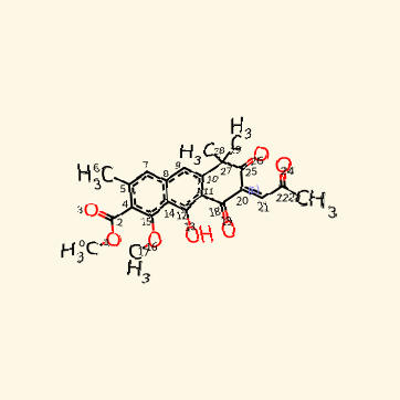 COC(=O)c1c(C)cc2cc3c(c(O)c2c1OC)C(=O)/C(=C/C(C)=O)C(=O)C3(C)C